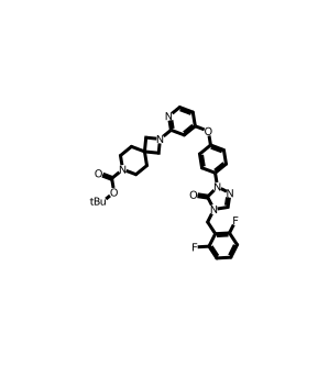 CC(C)(C)OC(=O)N1CCC2(CC1)CN(c1cc(Oc3ccc(-n4ncn(Cc5c(F)cccc5F)c4=O)cc3)ccn1)C2